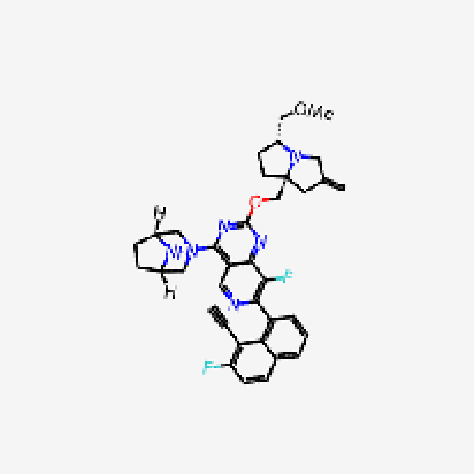 C#Cc1c(F)ccc2cccc(-c3ncc4c(N5C[C@H]6CC[C@@H](C5)N6)nc(OC[C@@]56CC[C@H](COC)N5CC(=C)C6)nc4c3F)c12